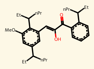 CCCC(CC)c1cc(C=C(O)C(=O)c2ccccc2C(CC)CCC)c(C(CC)CCC)c(OC)c1